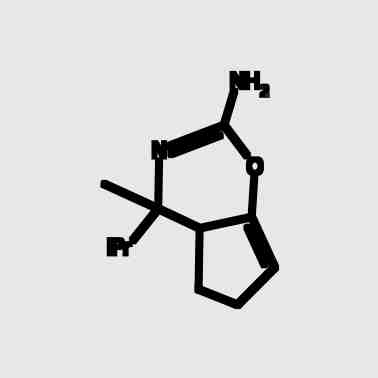 CC(C)C1(C)N=C(N)OC2=CCCC21